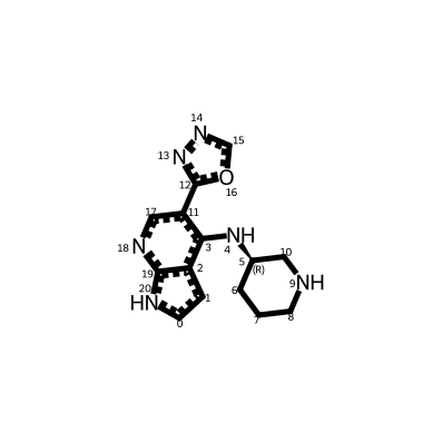 c1cc2c(N[C@@H]3CCCNC3)c(-c3nnco3)cnc2[nH]1